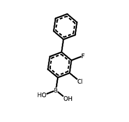 OB(O)c1ccc(-c2ccccc2)c(F)c1Cl